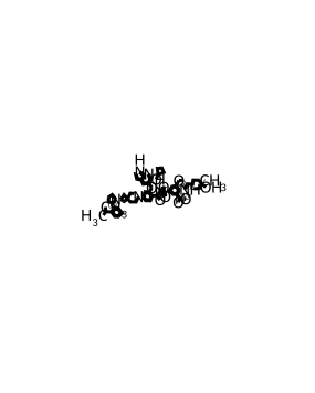 CC(C)c1ccccc1[C@H]1CCCN1C1CC2(CCN(c3ccc(C(=O)NS(=O)(=O)c4cc5c(c([N+](=O)[O-])c4)N[C@@H]([C@H]4CC[C@](C)(O)CC4)CO5)c(Oc4cc5cc[nH]c5nc4OC4CCC4)c3)CC2)C1